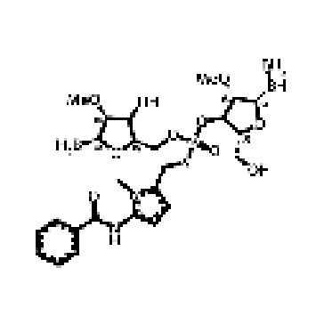 BB[C@@H]1O[C@H](CO)C(OP(=O)(OC[C@H]2O[C@@H](B)[C@@H](OC)C2O)SCc2ccc(NC(=O)c3ccccc3)n2C)[C@@H]1OC